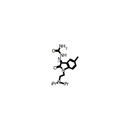 Cc1ccc2c(c1)/C(=N\NC(N)=O)C(=O)N2CCN(C(C)C)C(C)C